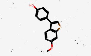 COc1ccc2c(-c3ccc(O)cc3)csc2c1